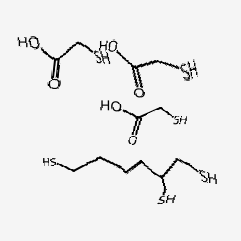 O=C(O)CS.O=C(O)CS.O=C(O)CS.SCCCCC(S)CS